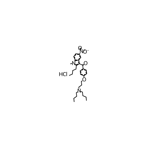 CCCCc1c(C(=O)c2ccc(OCCCN(CCCC)CCCC)cc2)c2cc([N+](=O)[O-])ccc2n1C.Cl